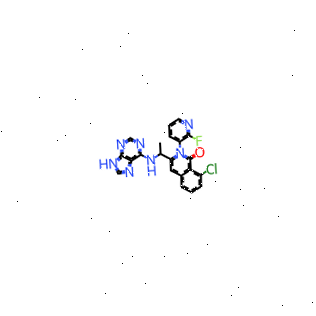 CC(Nc1ncnc2[nH]cnc12)c1cc2cccc(Cl)c2c(=O)n1-c1cccnc1F